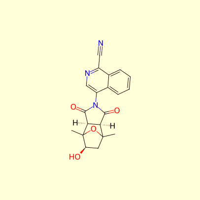 CC12C[C@@H](O)C(C)(O1)[C@H]1C(=O)N(c3cnc(C#N)c4ccccc34)C(=O)[C@H]12